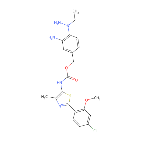 CCN(N)c1ccc(COC(=O)Nc2sc(-c3ccc(Cl)cc3OC)nc2C)cc1N